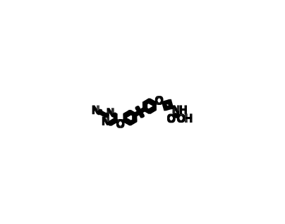 CC(C)(c1ccc(Oc2cnc(C#N)nc2)cc1)c1ccc(O[C@H]2C[C@H](NC(=O)O)C2)cc1